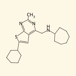 Cc1nc(CNC2CCCCCC2)c2cc(C3CCCCC3)sc2n1